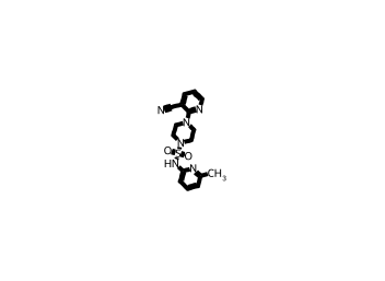 Cc1cccc(NS(=O)(=O)N2CCN(c3ncccc3C#N)CC2)n1